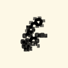 CCOP(=O)(OCC)OC(C)=C(C(=O)OC(C)(C)C)N1C(=O)C2N=C(Cc3ccccc3)SC21